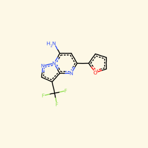 Nc1cc(-c2ccco2)nc2c(C(F)(F)F)cnn12